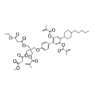 C=C(C)C(=O)OCC(COC(=O)CC(=O)OC)(COC(=O)CC(=O)OCC)COc1ccc(-c2cc(OC(=O)C(=C)C)c(C3CCC(CCCCC)CC3)cc2OC(=O)C(=C)C)cc1